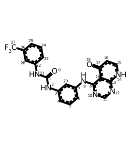 O=C(Nc1cccc(Nc2ncnc3[nH]ccc(=O)c23)c1)Nc1cccc(C(F)(F)F)c1